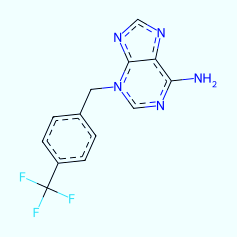 Nc1ncn(Cc2ccc(C(F)(F)F)cc2)c2ncnc1-2